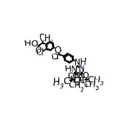 CC(C(=O)O)c1ccc(OC(=O)c2ccc(N/C(=N/C(=O)OC(C)(C)C)NC(=O)OC(C)(C)C)cc2)cc1Cl